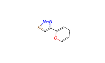 C1=COC(c2csnn2)=CC1